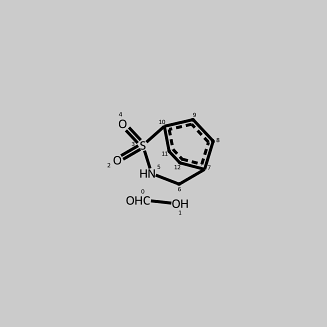 O=CO.O=S1(=O)NCc2ccc1cc2